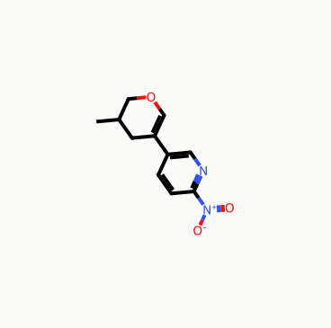 CC1COC=C(c2ccc([N+](=O)[O-])nc2)C1